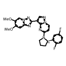 COc1cc2nc(-c3cnn4ccc(N5CCC[C@@H]5c5cc(F)ccc5F)nc34)nn2cc1OC